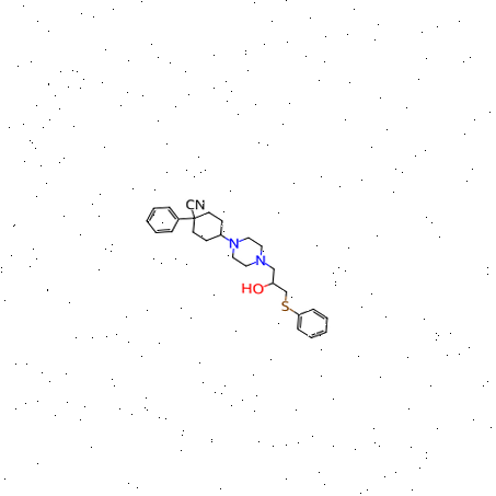 N#CC1(c2ccccc2)CCC(N2CCN(CC(O)CSc3ccccc3)CC2)CC1